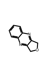 c1ccc2nc3c(nc2c1)COC3